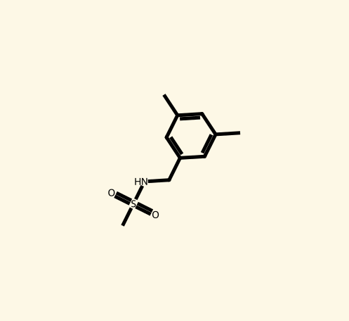 Cc1cc(C)cc(CNS(C)(=O)=O)c1